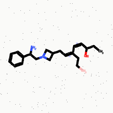 BCCC(/C=C\C(O)CC)=C/CC1CN(CC(N)c2ccccc2)C1